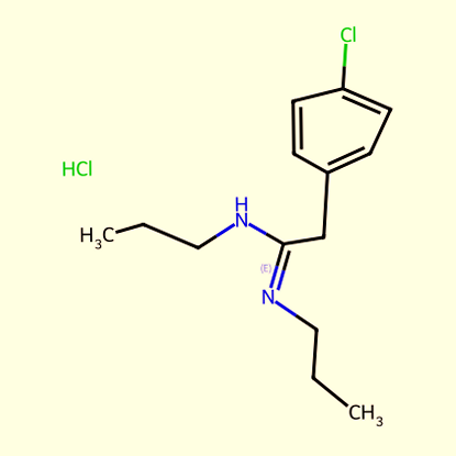 CCC/N=C(\Cc1ccc(Cl)cc1)NCCC.Cl